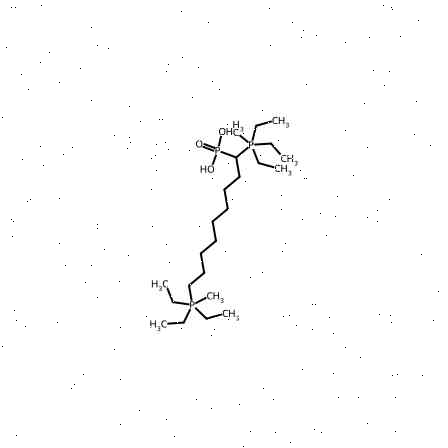 CCP(C)(CC)(CC)CCCCCCCCC(P(=O)(O)O)P(C)(CC)(CC)CC